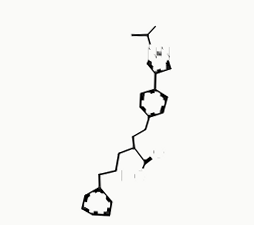 CC(C)n1cc(-c2ccc(CCC(CCCc3ccccc3)C(=O)O)cc2)cn1